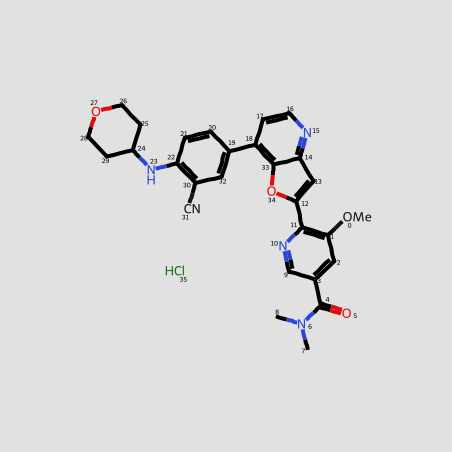 COc1cc(C(=O)N(C)C)cnc1-c1cc2nccc(-c3ccc(NC4CCOCC4)c(C#N)c3)c2o1.Cl